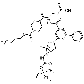 CCCCOC(=O)N1CCN(C(=O)[C@H](CCC(=O)O)NC(=O)c2cc(N3CC4[C@@H](C3)[C@@H]4NC(=O)OC(C)(C)C)nc(-c3ccccc3)n2)CC1